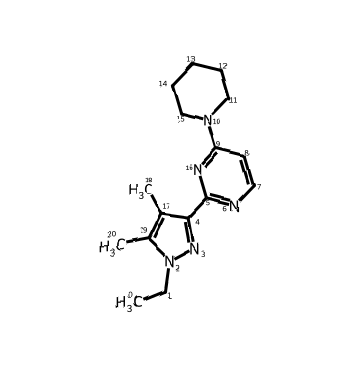 CCn1nc(-c2nccc(N3CCCCC3)n2)c(C)c1C